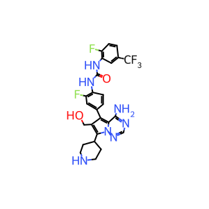 Nc1ncnn2c(C3CCNCC3)c(CO)c(-c3ccc(NC(=O)Nc4cc(C(F)(F)F)ccc4F)c(F)c3)c12